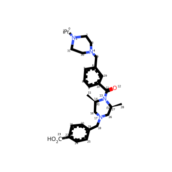 CC(C)N1CCN(Cc2cccc(C(=O)N3[C@H](C)CN(Cc4ccc(C(=O)O)cc4)C[C@@H]3C)c2)CC1